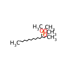 CCCCCCCCCCCC(CCC)CS(OCC)(OCC)OCC